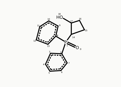 O=P(c1ccccc1)(c1ccccc1)C1CCC1O